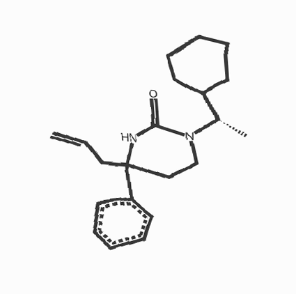 C=CCC1(c2ccccc2)CCN([C@@H](C)C2CCCCC2)C(=O)N1